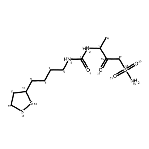 CC(NC(=O)NCCCCC1CCSS1)C(=O)CS(N)(=O)=O